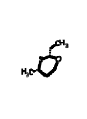 CC[C@@H]1OCC[C@H](C)S1